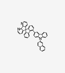 c1ccc2c(c1)-c1c(-c3ccc4c(c3)c3ccccc3n4-c3ccc4ccccc4c3)cccc1C21c2cccnc2-c2ncccc21